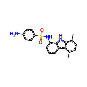 Cc1ccc(C)c2c1[nH]c1c(NS(=O)(=O)c3ccc(N)cc3)cccc12